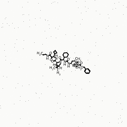 C=CCNC(=O)C(=O)C(NC(=O)[C@@H]1[C@@H]2[C@H](CN1C(=O)[C@@H](NC(=O)N[C@H](CN(C)S(=O)(=O)N(C)C(=O)OCc1ccccc1)C(C)(C)C)C1CCCCC1)C2(C)C)C1CCC1